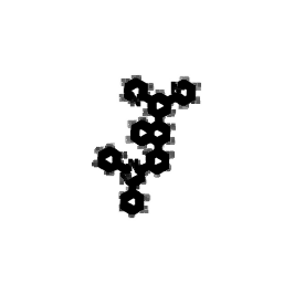 c1ccc(-c2cc(-c3cccc(-c4ccc(-c5cc(-c6ccccn6)cc(-c6ccccn6)c5)c5ccccc45)c3)nc(-c3ccccc3)n2)cc1